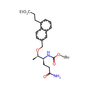 CCOC(=O)CCc1cccc2cc(CO[C@H](C)[C@H](CCC(N)=O)NC(=O)OC(C)(C)C)ccc12